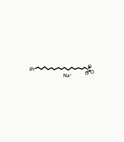 CC(C)CCCCCCCCCCCCCCCS(=O)(=O)[O-].[Na+]